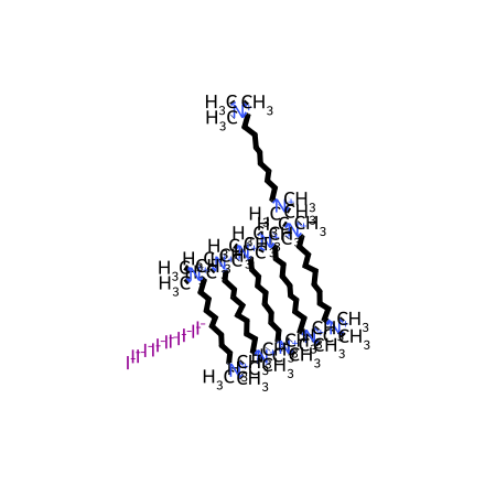 C[N+](C)(C)CCCCCCCCCC[N+](C)(C)C.C[N+](C)(C)CCCCCCCCCC[N+](C)(C)C.C[N+](C)(C)CCCCCCCCCC[N+](C)(C)C.C[N+](C)(C)CCCCCCCCCC[N+](C)(C)C.C[N+](C)(C)CCCCCCCCCC[N+](C)(C)C.C[N+](C)(C)CCCCCCCCCC[N+](C)(C)C.[I-].[I-].[I-].[I-].[I-].[I-].[I-].[I-].[I-].[I-].[I-].[I-]